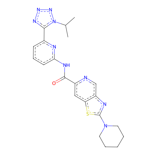 CC(C)n1nnnc1-c1cccc(NC(=O)c2cc3sc(N4CCCCC4)nc3cn2)n1